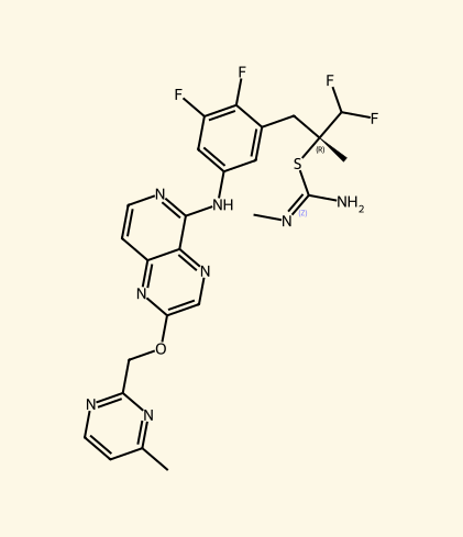 C/N=C(/N)S[C@](C)(Cc1cc(Nc2nccc3nc(OCc4nccc(C)n4)cnc23)cc(F)c1F)C(F)F